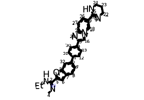 CCN/C(=N\C)c1cc2ccc(-c3ccc(-c4cn5cc(C6=NCCCN6)ccc5n4)cc3)cc2o1